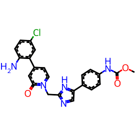 COC(=O)Nc1ccc(-c2cnc(Cn3ccc(-c4cc(Cl)ccc4N)cc3=O)[nH]2)cc1